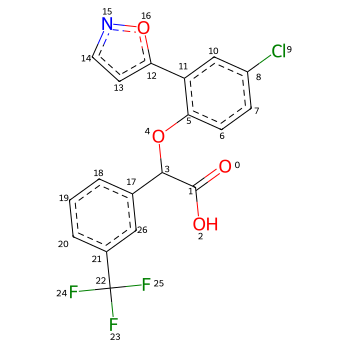 O=C(O)C(Oc1ccc(Cl)cc1-c1ccno1)c1cccc(C(F)(F)F)c1